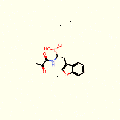 CC(=O)C(=O)N[C@@H](Cc1coc2ccccc12)B(O)O